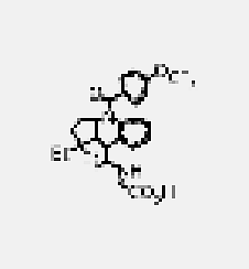 CCC1(CC)CCC2C1C(C(C)NCC(=O)O)c1ccccc1N2C(=O)c1ccc(OC(F)(F)F)cc1